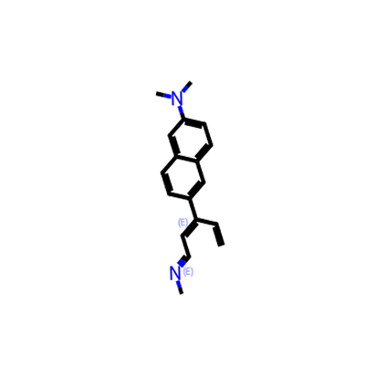 C=C/C(=C\C=N\C)c1ccc2cc(N(C)C)ccc2c1